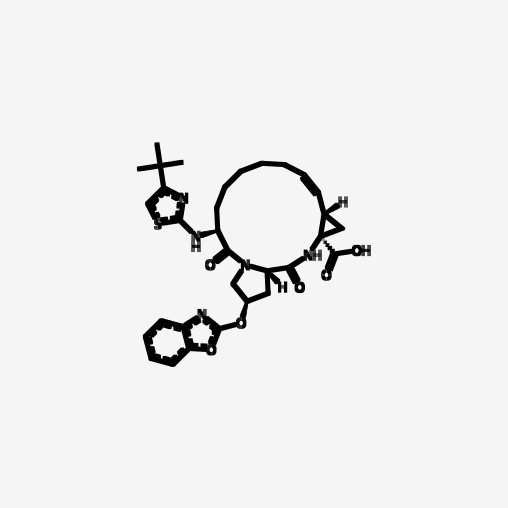 CC(C)(C)c1csc(N[C@H]2CCCCC/C=C\[C@@H]3C[C@@]3(C(=O)O)NC(=O)[C@@H]3C[C@@H](Oc4nc5ccccc5o4)CN3C2=O)n1